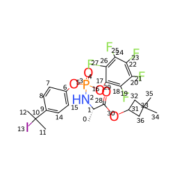 C[C@H](NP(=O)(Oc1ccc(C(C)(C)I)cc1)Oc1c(F)c(F)c(F)c(F)c1F)C(=O)OC1CC(C)(C)C1